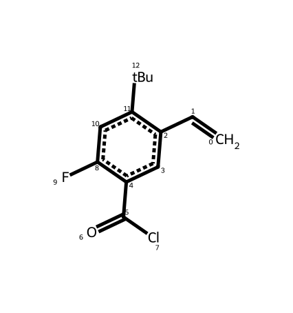 C=Cc1cc(C(=O)Cl)c(F)cc1C(C)(C)C